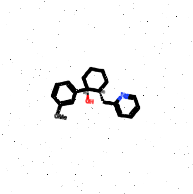 COc1cccc([C@@]2(O)CCCC[C@@H]2Cc2ccccn2)c1